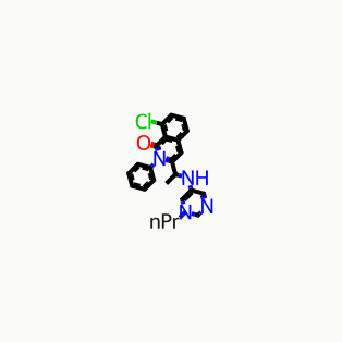 CCCN1C=C(NC(C)c2cc3cccc(Cl)c3c(=O)n2-c2ccccc2)C=NC1